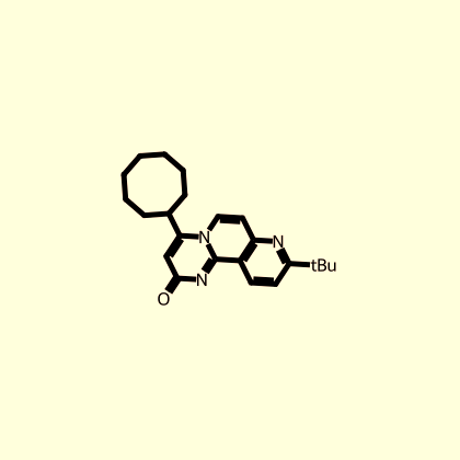 CC(C)(C)c1ccc2c(ccn3c(C4CCCCCCC4)cc(=O)nc23)n1